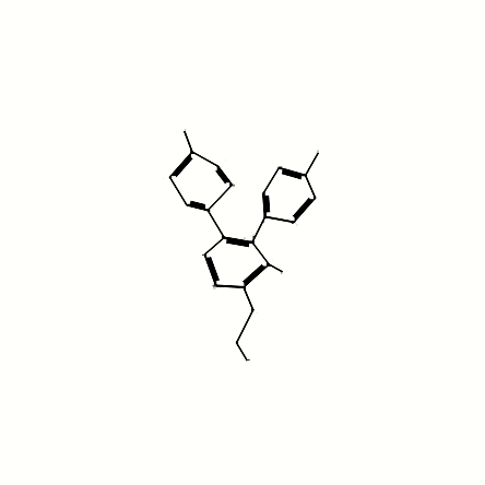 CCCc1[c]cc(-c2ccc(C)cc2)c(-c2ccc(C)cc2)c1C